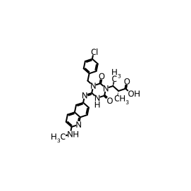 CNc1ccc2cc(/N=c3\[nH]c(=O)n([C@@H](C)[C@@H](C)C(=O)O)c(=O)n3Cc3ccc(Cl)cc3)ccc2n1